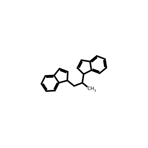 CC(CC1C=Cc2ccccc21)C1C=Cc2ccccc21